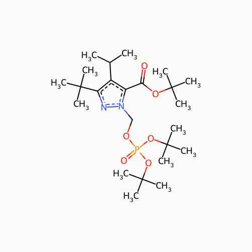 CC(C)c1c(C(C)(C)C)nn(COP(=O)(OC(C)(C)C)OC(C)(C)C)c1C(=O)OC(C)(C)C